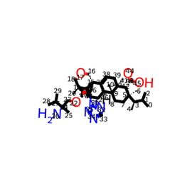 CC(C)[C@@H](C)[C@@]1(C)CC[C@]2(C)[C@H]3CC[C@@H]4[C@@]5(COC[C@@]4(C)[C@@H](OCC(C)(N)C(C)C)[C@H](n4ncnn4)C5)C3=CC[C@@]2(C)[C@@H]1C(=O)O